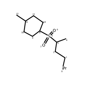 CC(C)CCC(C)S(=O)(=O)C1CCC(C)CC1